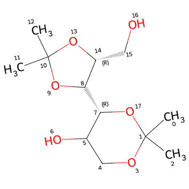 CC1(C)OCC(O)[C@H](C2OC(C)(C)O[C@@H]2CO)O1